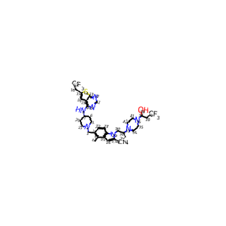 Cc1c(CN2CCC(Nc3ncnc4sc(CC(F)(F)F)cc34)CC2)ccc2c1cc(C#N)n2C[C@H](C)N1CCN(C(O)CC(F)(F)F)CC1